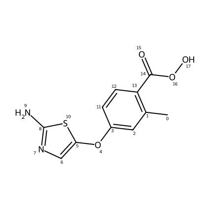 Cc1cc(Oc2cnc(N)s2)ccc1C(=O)OO